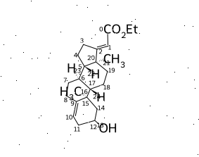 CCOC(=O)C=C1CC[C@H]2[C@@H]3CCC4=CCC(O)C[C@]4(C)[C@H]3CC[C@]12C